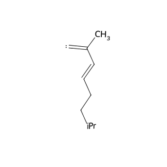 [C]=C(C)/C=C/CCC(C)C